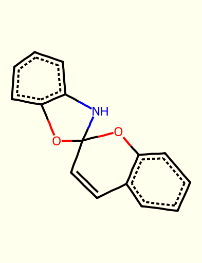 C1=CC2(Nc3ccccc3O2)Oc2ccccc21